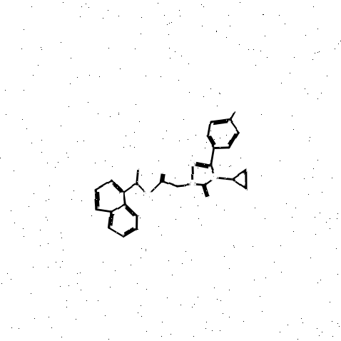 CC(NC(=O)Cn1nc(-c2ccc(Cl)cc2)n(C2CC2)c1=O)c1cccc2ccccc12